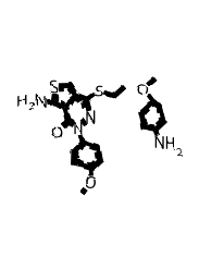 CCSc1nn(-c2ccc(OC)cc2)c(=O)c2c(N)scc12.COc1ccc(N)cc1